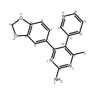 Cc1nc(N)nc(-c2ccc3c(c2)OCO3)c1-c1cccnc1